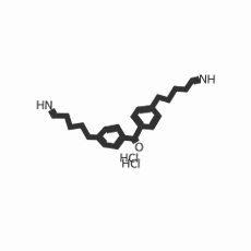 Cl.Cl.N=CCCCCc1ccc(C(=O)c2ccc(CCCCC=N)cc2)cc1